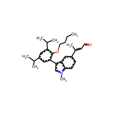 CCCCOc1c(-c2cn(C)c3ccc(/C(C)=C/C=O)cc23)cc(C(C)C)cc1C(C)C